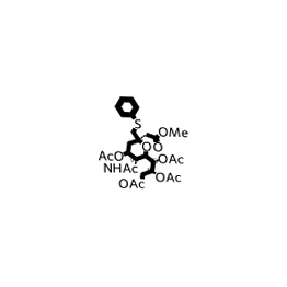 COC(=O)C[C@@]1(CSc2ccccc2)CC(OC(C)=O)[C@@H](NC(C)=O)C([C@H](OC(C)=O)[C@H](COC(C)=O)OC(C)=O)O1